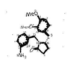 COc1ccc(C[C@@H]2CCC(=O)N2Cc2cccc(N)c2)cc1OC